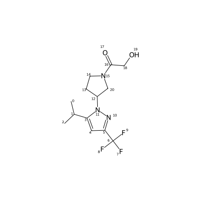 CC(C)c1cc(C(F)(F)F)nn1C1CCN(C(=O)CO)C1